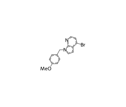 COc1ccc(Cn2ccc3c(Br)ccnc32)cc1